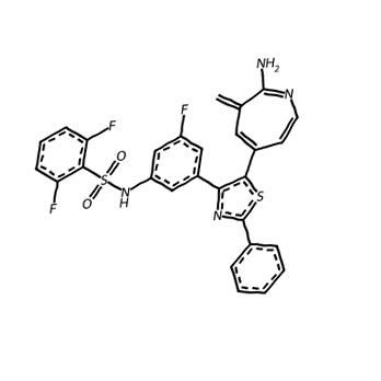 C=C1C=C(c2sc(-c3ccccc3)nc2-c2cc(F)cc(NS(=O)(=O)c3c(F)cccc3F)c2)C=CN=C1N